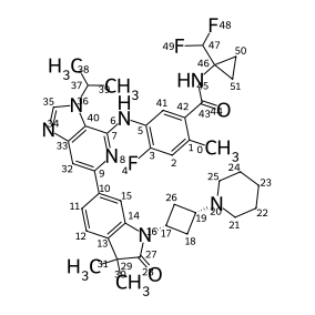 Cc1cc(F)c(Nc2nc(-c3ccc4c(c3)N([C@H]3C[C@@H](N5CCCCC5)C3)C(=O)C4(C)C)cc3ncn(C(C)C)c23)cc1C(=O)NC1(C(F)F)CC1